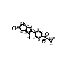 O=S(=O)(c1ccc(-c2cc3ncc(Cl)cc3[nH]2)cc1)C1CC1